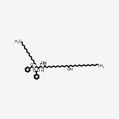 CCCCCCCCCCCCCC[C@H](O)CCCCCCCCCCC(=O)N[C@@H](CO)[C@H](OC(=O)c1ccccc1)[C@@H](CCCCCCCCCCCCCC)OC(=O)c1ccccc1